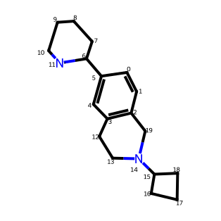 c1cc2c(cc1C1CCCC[N]1)CCN(C1CCC1)C2